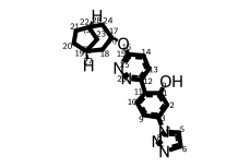 Oc1cc(-n2ccnn2)ccc1-c1ccc(O[C@H]2C[C@@H]3CC[C@@H](C3)C2)nn1